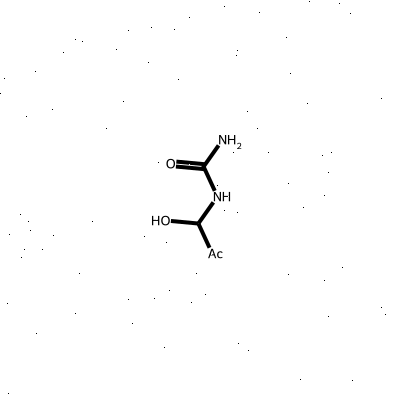 CC(=O)C(O)NC(N)=O